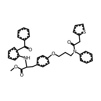 COC(=O)C(Cc1ccc(OCCCN(C(=O)Cc2cccs2)c2ccccc2)cc1)Nc1ccccc1C(=O)c1ccccc1